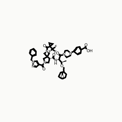 C[C@@H](OCC12CCC(CC1)OC2)[C@H](NC(=O)[C@@H]1CN(C(=O)c2cnn(Cc3ccccc3)c2)CC12CN(C(=O)C1(C(F)(F)F)CC1)C2)C(=O)N1CCN(c2ccc(C(=O)O)cc2)CC1